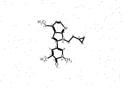 CSc1ccnc2c1cc(-c1cc(C)c(=O)n(C)c1)n2CCC1CC1